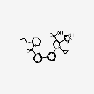 CCC[C@@H]1CCCCN1C(=O)c1cccc(-c2cccc(N3CC(C(=O)O)=C(c4c[nH]nn4)N3C3CC3)c2)c1